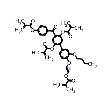 C=C(C)C(=O)O/C=C/Oc1ccc(-c2cc(OC(=O)C(=C)C)c(C(=O)c3ccc(OC(=O)C(=C)C)cc3)cc2OC(=O)C(=C)C)cc1OCCCC